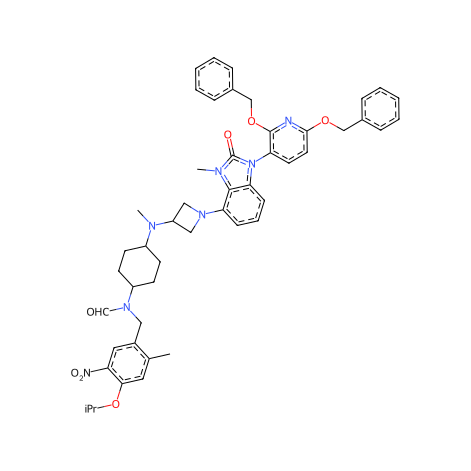 Cc1cc(OC(C)C)c([N+](=O)[O-])cc1CN(C=O)C1CCC(N(C)C2CN(c3cccc4c3n(C)c(=O)n4-c3ccc(OCc4ccccc4)nc3OCc3ccccc3)C2)CC1